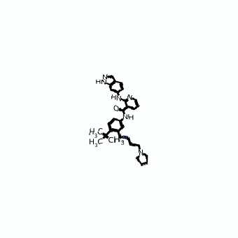 CC(C)(C)c1ccc(NC(=O)c2cccnc2Nc2ccc3cn[nH]c3c2)cc1/C=C/CCN1CCCC1